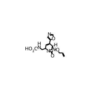 C=CCON1C(=O)N2C[C@H]1C(c1cnco1)=CC2CNC(=O)O